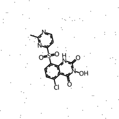 Cc1nccc(S(=O)(=O)c2ccc(Cl)c3c(=O)n(O)c(=O)[nH]c23)n1